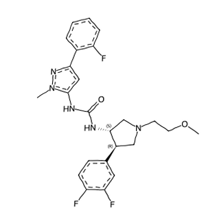 COCCN1C[C@@H](NC(=O)Nc2cc(-c3ccccc3F)nn2C)[C@H](c2ccc(F)c(F)c2)C1